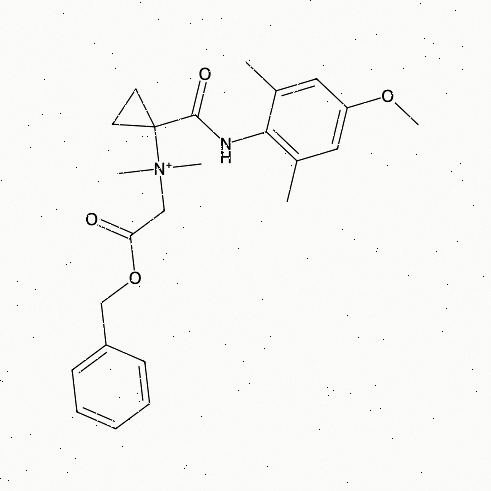 COc1cc(C)c(NC(=O)C2([N+](C)(C)CC(=O)OCc3ccccc3)CC2)c(C)c1